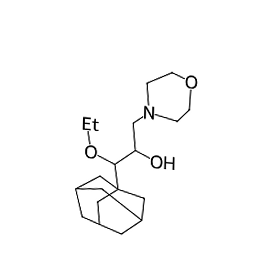 CCOC(C(O)CN1CCOCC1)C12CC3CC(CC(C3)C1)C2